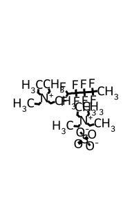 CC(F)(F)C(F)(F)C(F)(F)C(F)F.CC[N+](CC)(CC)CC.CC[N+](CC)(CC)CC.O=S(=O)([O-])[O-]